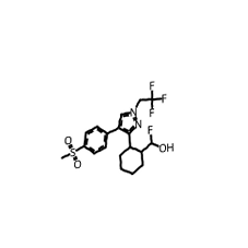 CS(=O)(=O)c1ccc(-c2cn(CC(F)(F)F)nc2C2CCCCC2C(O)F)cc1